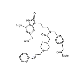 CCCCOc1nc(N)c2[nH]c(=O)n(CCCN(Cc3ccc(CC(=O)OC)cc3)C(=O)CN3CCN(C/C=C/c4ccccc4)CC3)c2n1